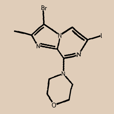 Cc1nc2c(N3CCOCC3)nc(I)cn2c1Br